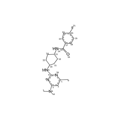 Cc1cc(N(C)C)nc(NC2CCC(NC(=O)c3ccc(F)cc3)CC2)n1